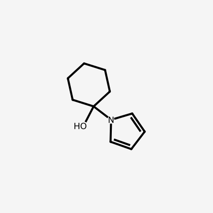 OC1(n2cccc2)CCCCC1